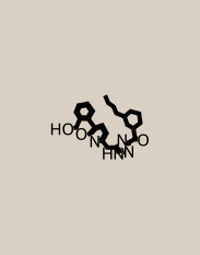 CCCCC1CCCC(C(=O)c2n[nH]c(Cc3ccc(-c4ccccc4C(=O)O)cn3)n2)C1